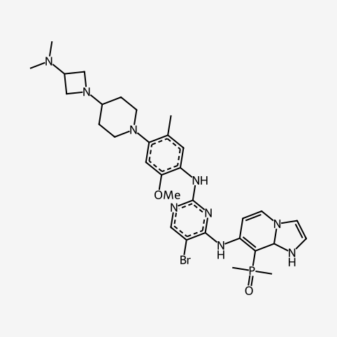 COc1cc(N2CCC(N3CC(N(C)C)C3)CC2)c(C)cc1Nc1ncc(Br)c(NC2=C(P(C)(C)=O)C3NC=CN3C=C2)n1